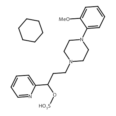 C1CCCCC1.COc1ccccc1N1CCN(CCC(OS(=O)(=O)O)c2ccccn2)CC1